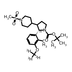 [2H]C([2H])([2H])Oc1cccc([C@@H]2C(C3CCN(S(C)(=O)=O)CC3)CCN2C(=O)OC(C)(C)C)c1C